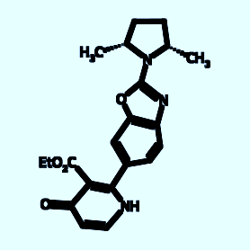 CCOC(=O)c1c(-c2ccc3nc(N4[C@H](C)CC[C@@H]4C)oc3c2)[nH]ccc1=O